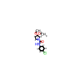 COC1(OC)CCN(C(=O)Nc2ccc(Cl)cc2)C1